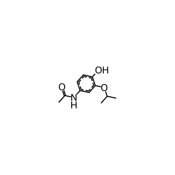 CC(=O)Nc1ccc(O)c(OC(C)C)c1